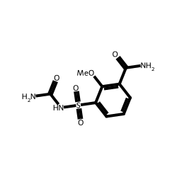 COc1c(C(N)=O)cccc1S(=O)(=O)NC(N)=O